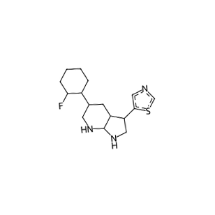 FC1CCCCC1C1CNC2NCC(c3cncs3)C2C1